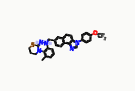 Cc1cccc(C)c1N1CCCS/C1=N/N=C/c1ccc2c(ccc3c2ncn3-c2ccc(OC(F)(F)F)cc2)c1